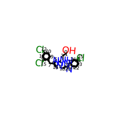 OCCNc1nc(Cc2ccc(Cl)cc2Cl)cn1Cc1nc2ccc(Cl)cc2[nH]1